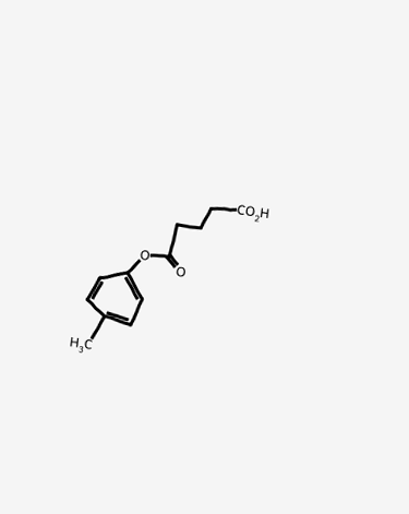 Cc1ccc(OC(=O)CCCC(=O)O)cc1